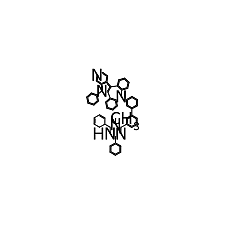 CN1C(c2cccc(-c3cccc(N4c5ccccc5-c5c(n(-c6ccccc6)c6cnccc56)-c5ccccc54)c3)c2)=NC(c2ccccc2)NC1C1C=CC=CC1